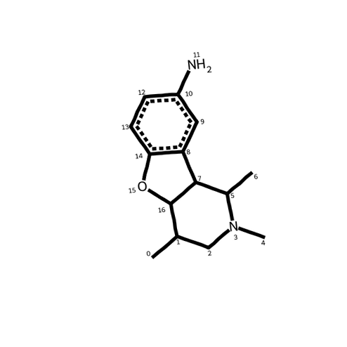 CC1CN(C)C(C)C2c3cc(N)ccc3OC12